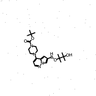 CC(C)(C)OC(=O)N1CCN(c2ccnn3cc(BOC(C)(C)C(C)(C)O)cc23)CC1